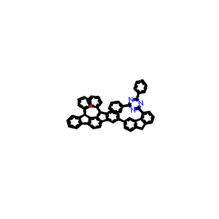 c1ccc(-c2nc(-c3ccccc3)nc(-c3cccc4c3-c3cc(-c5ccc6c(c5)-c5ccc7c(c5C6c5ccccc5)C(c5ccccc5)c5ccccc5-7)ccc3C4)n2)cc1